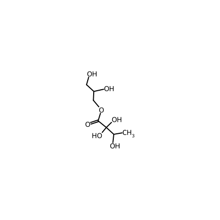 CC(O)C(O)(O)C(=O)OCC(O)CO